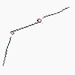 CCCCCCCCC/C=C/C=C/C=C/C=C/C=C/C=C/C(=O)OC1CC(C)(C)C(/C=C/C(C)=C/C=C/C(C)=C/C=C/C=C(C)/C=C/C=C(C)/C=C/C2=C(C)C(=O)C(OC(=O)/C=C/C=C/C=C/C=C/C=C/C=C/CCCCCCCCC)CC2(C)C)=C(C)C1=O